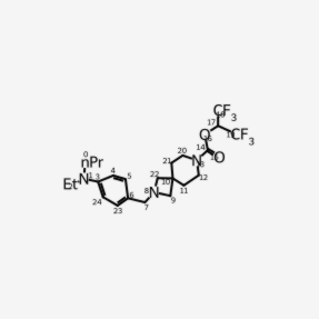 CCCN(CC)c1ccc(CN2CC3(CCN(C(=O)OC(C(F)(F)F)C(F)(F)F)CC3)C2)cc1